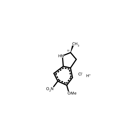 COc1cc2c(cc1[N+](=O)[O-])N[C@@H](C)C2.[Cl-].[H+]